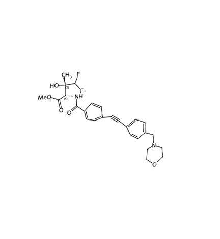 COC(=O)[C@@H](NC(=O)c1ccc(C#Cc2ccc(CN3CCOCC3)cc2)cc1)[C@](C)(O)C(F)F